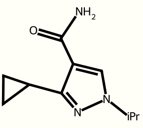 CC(C)n1cc(C(N)=O)c(C2CC2)n1